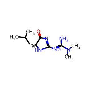 CC(C)C[C@H]1NC(/N=C(\N)N(C)C)=NC1=O